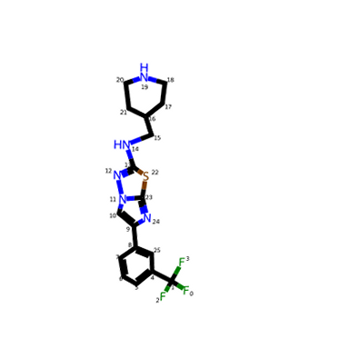 FC(F)(F)c1cccc(-c2cn3nc(NCC4CCNCC4)sc3n2)c1